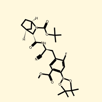 COC(=O)c1cc(C[C@@H](C#N)NC(=O)[C@@H]2[C@H]3CC[C@H](C3)N2C(=O)OC(C)(C)C)c(F)cc1B1OC(C)(C)C(C)(C)O1